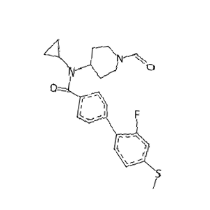 CSc1ccc(-c2ccc(C(=O)N(C3CC3)C3CCN(C=O)CC3)cc2)c(F)c1